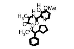 COc1ccnc(C(=O)NC(C)C(=O)ON(C)C(c2ccccc2)C2CCCC2)c1O